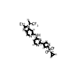 CCc1nc2cnc(Nc3ccnc(-c4cnn(S(=O)(=O)C5CC5)c4)n3)cc2n1[C@@H](C)C(F)(F)F